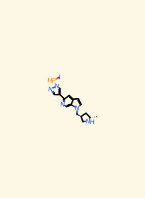 C[C@H]1C[C@H](Cn2ccc3cc(-c4cnn(PI)c4)ncc32)CN1